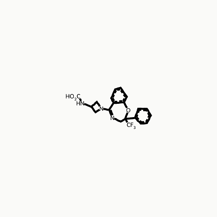 O=C(O)NC1CN(C2=NCC(c3ccccc3)(C(F)(F)F)Oc3ccccc32)C1